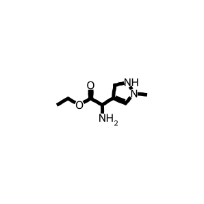 CCOC(=O)C(N)C1=CN(C)NC1